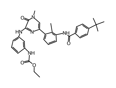 CCOC(=O)Nc1cccc(Nc2nc(-c3cccc(NC(=O)c4ccc(C(C)(C)C)cc4)c3C)cn(C)c2=O)c1